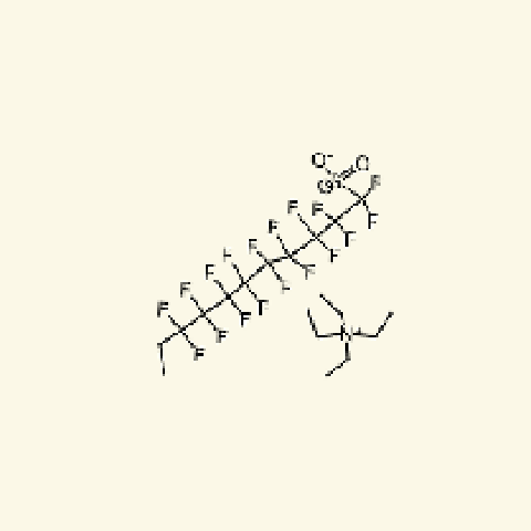 CCC(F)(F)C(F)(F)C(F)(F)C(F)(F)C(F)(F)C(F)(F)C(F)(F)C(F)(F)C(F)(F)S(=O)(=O)[O-].CC[N+](CC)(CC)CC